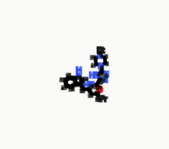 CCN1CCN(c2nnc(C(=O)NC(CCC(C)C)Cc3c[nH]c4ccccc34)[nH]2)CC1